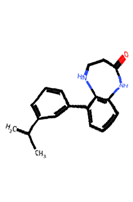 CC(C)c1cccc(-c2cccc3c2NCCC(=O)N3)c1